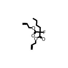 C=CCOC(=O)C(F)(CCCC)C(=O)OCC=C